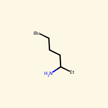 CCC(C)CCCC(N)CC